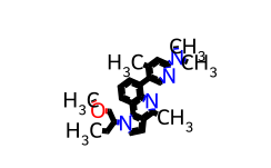 CCC(COC)n1ccc2c(C)nc3c(-c4cnc(N(C)C)cc4C)cccc3c21